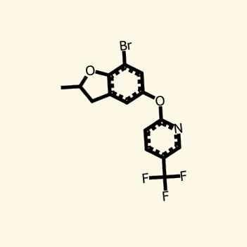 CC1Cc2cc(Oc3ccc(C(F)(F)F)cn3)cc(Br)c2O1